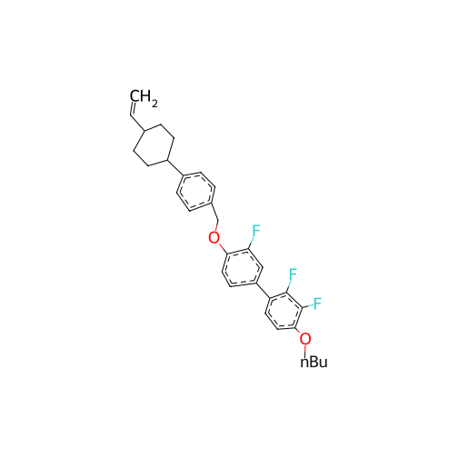 C=CC1CCC(c2ccc(COc3ccc(-c4ccc(OCCCC)c(F)c4F)cc3F)cc2)CC1